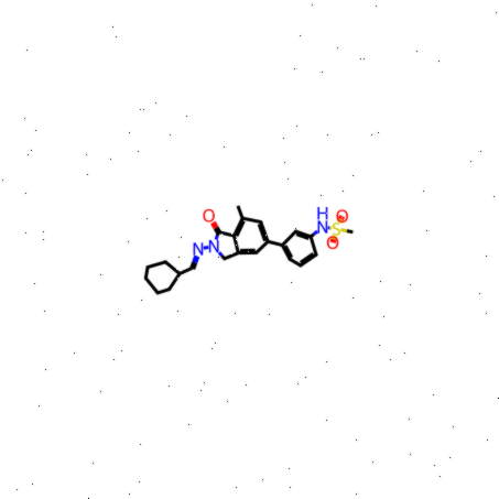 Cc1cc(-c2cccc(NS(C)(=O)=O)c2)cc2c1C(=O)N(/N=C/C1CCCCC1)C2